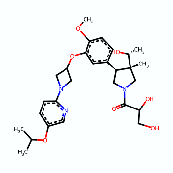 COc1ccc([C@@H]2CN(C(=O)C(O)CO)C[C@@]2(C)[C@@H](C)O)cc1OC1CN(c2ccc(OC(C)C)cn2)C1